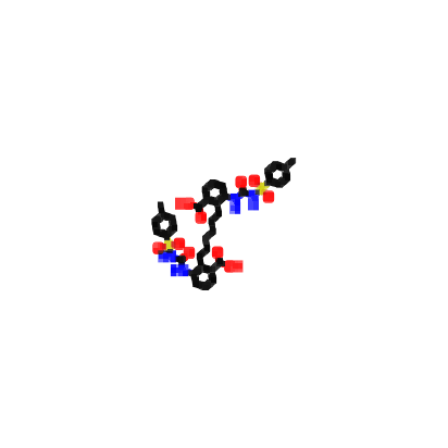 Cc1ccc(S(=O)(=O)NC(=O)Nc2cccc(C(=O)O)c2CCCCCCc2c(NC(=O)NS(=O)(=O)c3ccc(C)cc3)cccc2C(=O)O)cc1